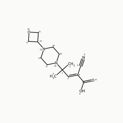 CC(C)(/C=C(\C#N)C(=O)O)N1CCN(C2COC2)CC1